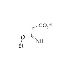 CCOC(=N)CC(=O)O